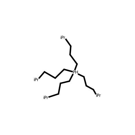 CC(C)CCC[PH](CCCC(C)C)(CCCC(C)C)CCCC(C)C